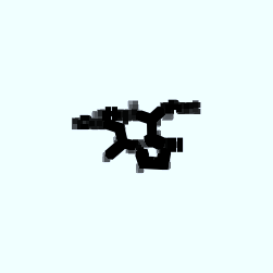 CCCCCCCCCCCC(C)[n+]1cc[nH]c1C(CCCCC)CCCCCCC